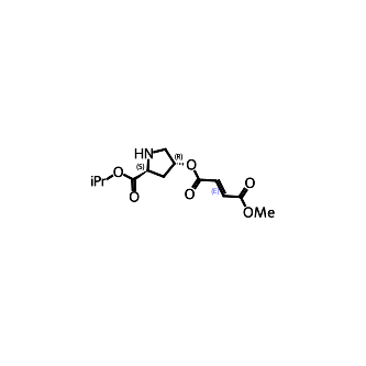 COC(=O)/C=C/C(=O)O[C@H]1CN[C@H](C(=O)OC(C)C)C1